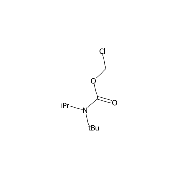 CC(C)N(C(=O)OCCl)C(C)(C)C